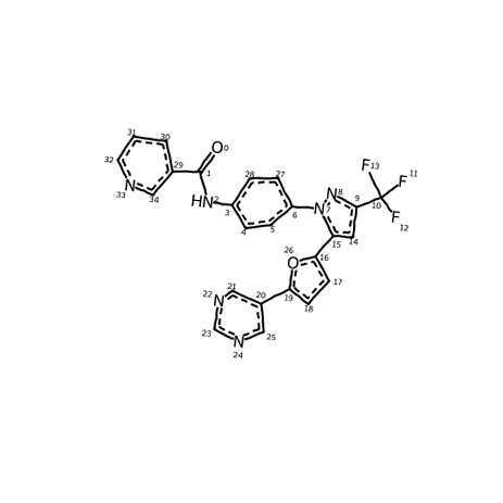 O=C(Nc1ccc(-n2nc(C(F)(F)F)cc2-c2ccc(-c3cncnc3)o2)cc1)c1cccnc1